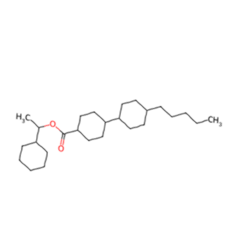 CCCCCC1CCC(C2CCC(C(=O)OC(C)C3CCCCC3)CC2)CC1